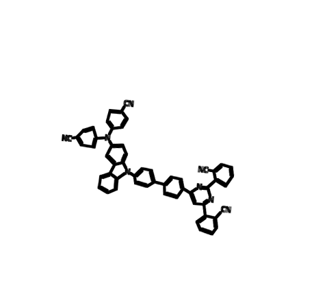 N#Cc1ccc(N(c2ccc(C#N)cc2)c2ccc3c(c2)c2ccccc2n3-c2ccc(-c3ccc(-c4cc(-c5ccccc5C#N)nc(-c5ccccc5C#N)n4)cc3)cc2)cc1